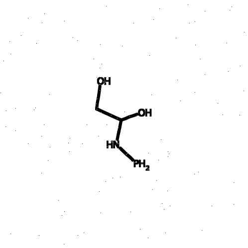 OCC(O)NP